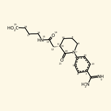 N=C(N)c1ccc(N2CCC[C@@H](CC(=O)NCCCC(=O)O)C2=O)cc1